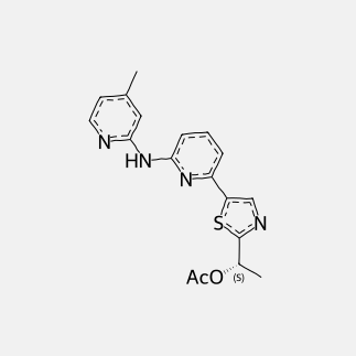 CC(=O)O[C@@H](C)c1ncc(-c2cccc(Nc3cc(C)ccn3)n2)s1